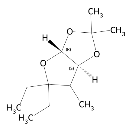 CCC1(CC)O[C@@H]2OC(C)(C)O[C@H]2C1C